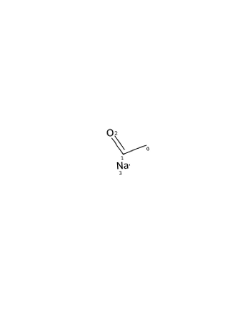 CC=O.[Na]